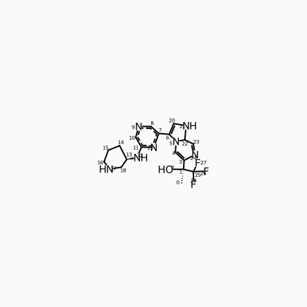 C[C@](O)(C1=CN2C(c3cncc(N[C@@H]4CCCNC4)n3)=CNC2C=N1)C(F)(F)F